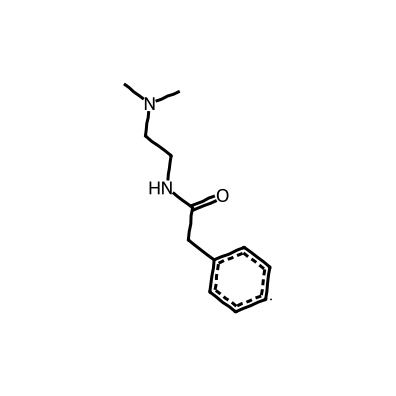 CN(C)CCNC(=O)Cc1cc[c]cc1